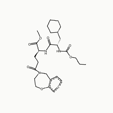 CCCOC(=O)N[C@@H](CC1CCCCC1)C(=O)N[C@@H](CCC(=O)N1CCOc2ccccc2C1)C(=O)OC